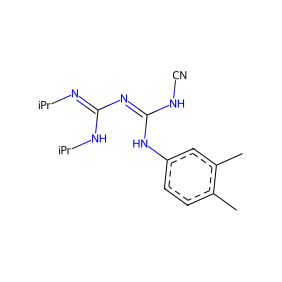 Cc1ccc(N/C(=N\C(=N\C(C)C)NC(C)C)NC#N)cc1C